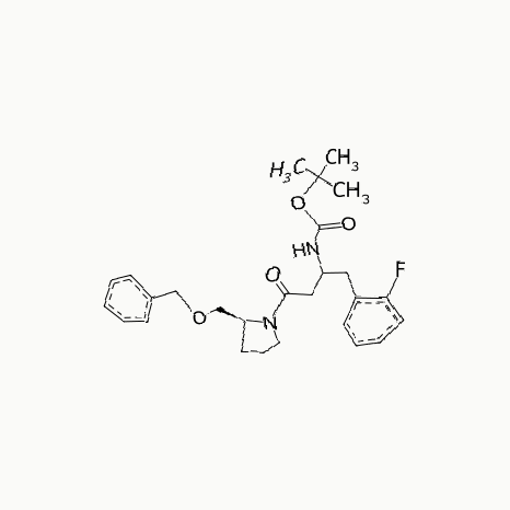 CC(C)(C)OC(=O)NC(CC(=O)N1CCC[C@H]1COCc1ccccc1)Cc1ccccc1F